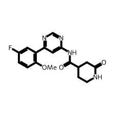 COc1ccc(F)cc1-c1cc(NC(=O)C2CCNC(=O)C2)ncn1